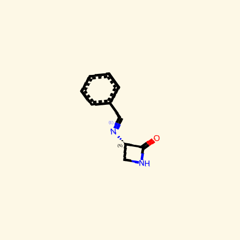 O=C1NC[C@@H]1/N=C/c1ccccc1